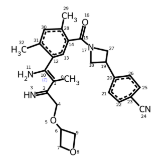 C/C(C(=N)COC1COC1)=C(/N)c1cc(C(=O)N2CC(c3ccc(C#N)cc3)C2)c(C)cc1C